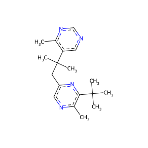 Cc1ncncc1C(C)(C)Cc1cnc(C)c(C(C)(C)C)n1